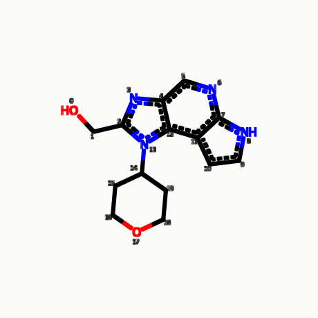 OCc1nc2cnc3[nH]ccc3c2n1C1CCOCC1